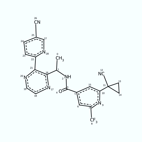 CC(NC(=O)c1cc(C(F)(F)F)nc(C2(C#N)CC2)c1)c1nccnc1-c1ccc(C#N)cn1